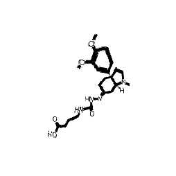 COc1ccc([C@@]23CC/C(=N\NC(=O)NCCCC(=O)O)C[C@@H]2N(C)CC3)cc1OC